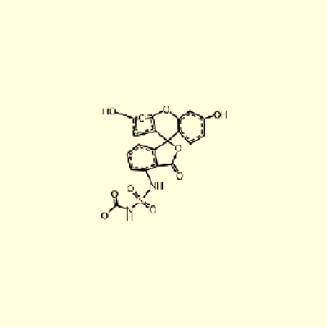 [O]C(=O)NS(=O)(=O)Nc1cccc2c1C(=O)OC21c2ccc(O)cc2Oc2cc(O)ccc21